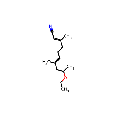 CCOC(C)CC(C)=CCCC(C)=CC#N